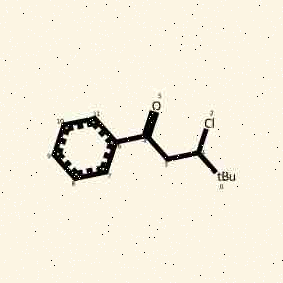 CC(C)(C)C(Cl)CC(=O)c1ccccc1